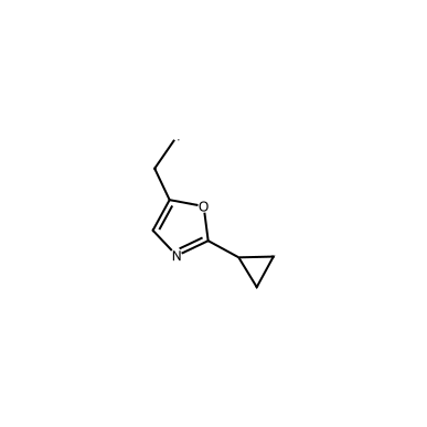 [CH2]Cc1cnc(C2CC2)o1